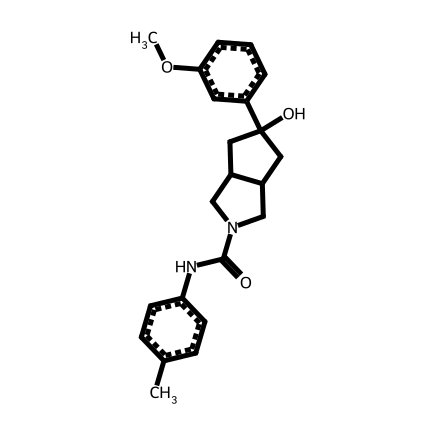 COc1cccc(C2(O)CC3CN(C(=O)Nc4ccc(C)cc4)CC3C2)c1